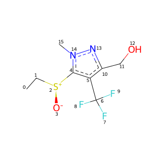 CC[S@+]([O-])c1c(C(F)(F)F)c(CO)nn1C